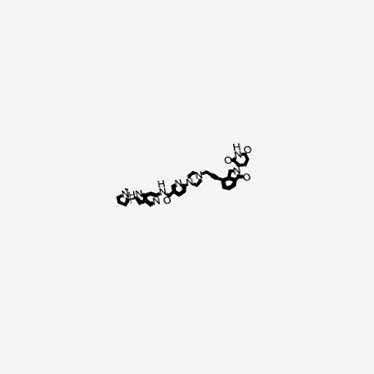 CN1CCC[C@@H]1c1cc2cnc(NC(=O)c3ccc(N4CCN(CC#Cc5cccc6c5CN(C5CCC(=O)NC5=O)C6=O)CC4)nc3)cc2[nH]1